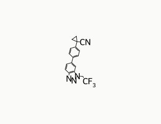 N#CC1(c2ccc(-c3ccc4nnn(CC(F)(F)F)c4c3)cc2)CC1